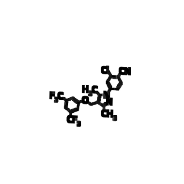 Cc1nn(-c2ccc(C#N)c(Cl)c2)c(C)c1COc1cc(C(F)(F)F)cc(C(F)(F)F)c1